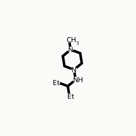 CCC(CC)NN1CCN(C)CC1